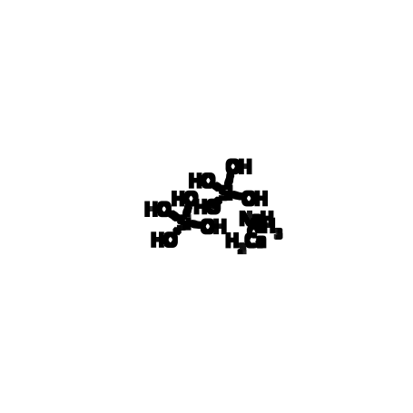 O[Si](O)(O)O.O[Si](O)(O)O.[AlH3].[CaH2].[NaH]